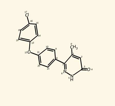 Cc1cc(=O)[nH]nc1-c1ccc(Oc2ccc(Cl)cc2)cc1